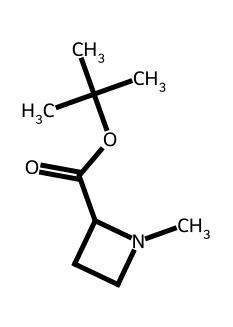 CN1CCC1C(=O)OC(C)(C)C